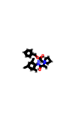 Cc1cc(C)c(NC(=O)C(C)[N+]2(CC(=O)OCc3ccccc3)CCCC2)c(C)c1